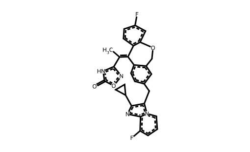 C/C(=C1/c2ccc(Cc3c(C4CC4)nc4c(F)cccn34)cc2COc2cc(F)ccc21)c1noc(=O)[nH]1